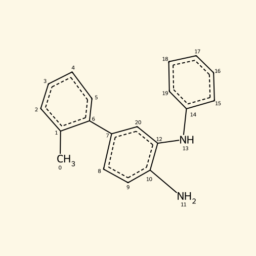 Cc1ccccc1-c1ccc(N)c(Nc2ccccc2)c1